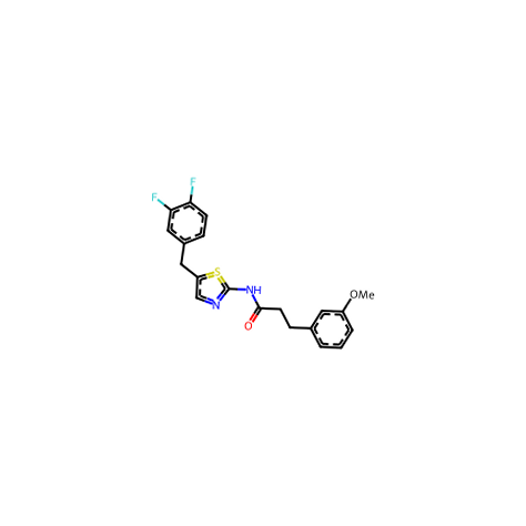 COc1cccc(CCC(=O)Nc2ncc(Cc3ccc(F)c(F)c3)s2)c1